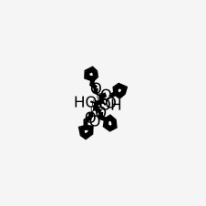 O=C(O[C@H](COCc1ccccc1)[C@@H](O)[C@H](O)[C@@H](COCc1ccccc1)OC(=O)c1ccccc1)c1ccccc1